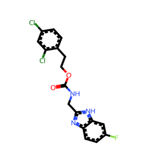 O=C(NCc1nc2ccc(F)cc2[nH]1)OCCc1ccc(Cl)cc1Cl